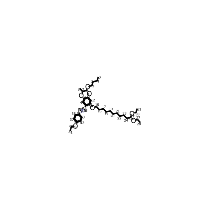 CCCCOC(=O)C(C)Oc1ccc(OCCCCCCCCCCC(OCC)OCC)c(/N=N/c2ccc(OCC)cc2)c1